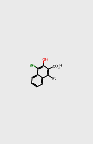 CCc1c(C(=O)O)c(O)c(Br)c2ccccc12